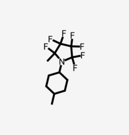 CC1CCC(N2C(C)(F)C(F)(F)C(F)(F)C2(F)F)CC1